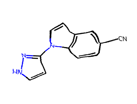 N#Cc1ccc2c(ccn2-c2cc[nH]n2)c1